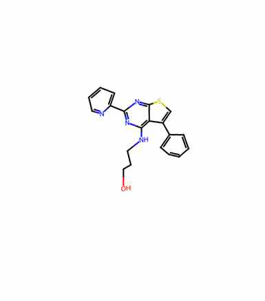 OCCCNc1nc(-c2ccccn2)nc2scc(-c3ccccc3)c12